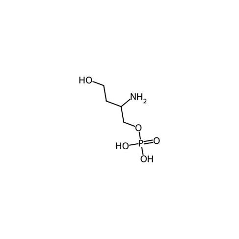 NC(CCO)COP(=O)(O)O